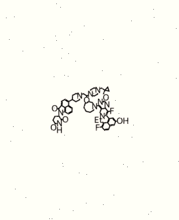 CCc1c(F)ccc2cc(O)cc(-c3ncc4c(N5CCCCCCC5)nc(OCC5(CN6CCN(C(=O)CN7CCC(c8ccc9c%10c(cccc8%10)N(C8CCC(=O)NC8=O)C9=O)CC7)CC6)CC5)nc4c3F)c12